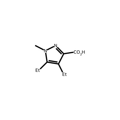 CCc1c(C(=O)O)nn(C)c1CC